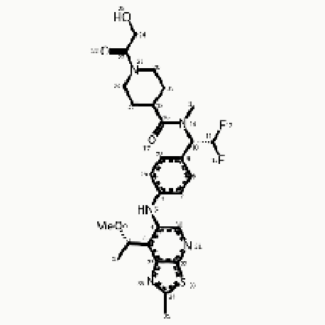 CO[C@@H](C)c1c(Nc2ccc([C@@H](C(F)F)N(C)C(=O)C3CCN(C(=O)CO)CC3)cc2)cnc2sc(C)nc12